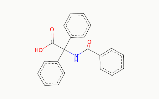 O=C(NC(C(=O)O)(c1ccccc1)c1ccccc1)c1ccccc1